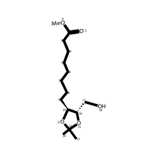 COC(=O)CCCCCCC[C@@H]1OC(C)(C)O[C@H]1CO